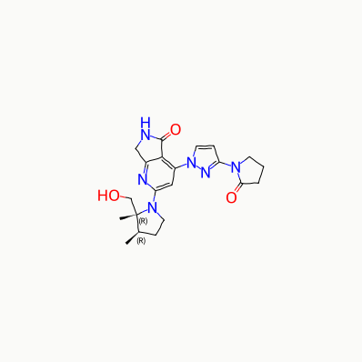 C[C@@H]1CCN(c2cc(-n3ccc(N4CCCC4=O)n3)c3c(n2)CNC3=O)[C@@]1(C)CO